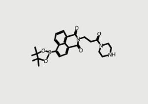 CC1(C)OB(c2ccc3c4c(cccc24)C(=O)N(CCC(=O)N2CCNCC2)C3=O)OC1(C)C